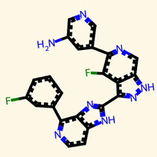 Nc1cncc(-c2ncc3[nH]nc(-c4nc5c(-c6cccc(F)c6)nccc5[nH]4)c3c2F)c1